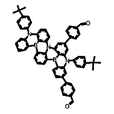 CC(C)(C)c1ccc(N2c3ccccc3B3c4cccc5c4N(c4cccc2c43)c2cc(-c3ccc(C=O)cc3)cc3c2B5c2ccc(-c4ccc(C=O)cc4)cc2N3c2ccc(C(C)(C)C)cc2)cc1